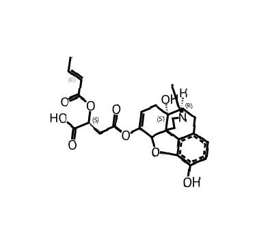 C/C=C/C(=O)O[C@@H](CC(=O)OC1=CC[C@@]2(O)[C@H]3Cc4ccc(O)c5c4C2(CCN3C)C1O5)C(=O)O